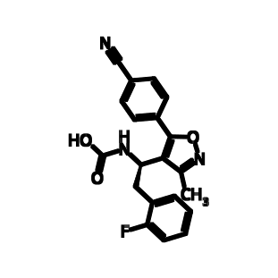 Cc1noc(-c2ccc(C#N)cc2)c1[C@@H](Cc1ccccc1F)NC(=O)O